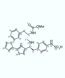 COC(=O)N[C@H](CN[C@@H](Cc1ccc(NS(=O)(=O)O)cc1)c1csc(-c2cccs2)n1)Cc1ccccc1